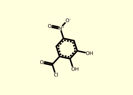 O=C(Cl)c1cc([N+](=O)[O-])cc(O)c1O